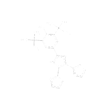 CC(C)(C)c1cc(-c2nc(-c3ccco3)c(-c3ccco3)[nH]2)cc(C(C)(C)C)c1O